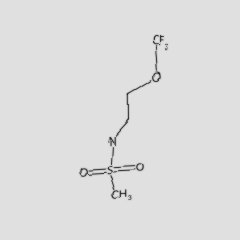 CS(=O)(=O)[N]CCOC(F)(F)F